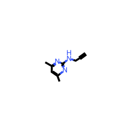 C#CCNc1nc(C)cc(C)n1